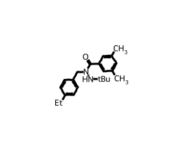 CCc1ccc(CN(NC(C)(C)C)C(=O)c2cc(C)cc(C)c2)cc1